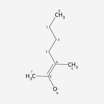 CCCC/C(C)=C(\C)[O]